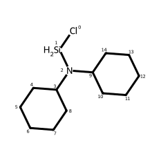 Cl[SiH2]N(C1CCCCC1)C1CCCCC1